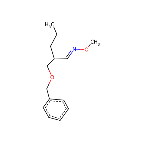 CCCC(C=NOC)COCc1ccccc1